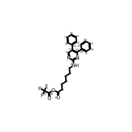 O=C(CCCCCCNc1ncc(-c2ccccc2)c(-c2ccccc2)n1)OC(=O)C(F)(F)F